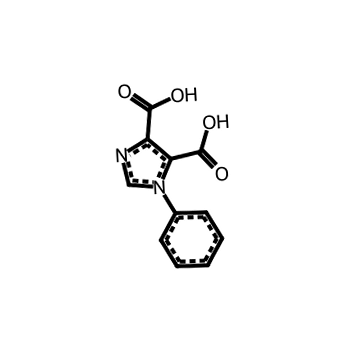 O=C(O)c1ncn(-c2ccccc2)c1C(=O)O